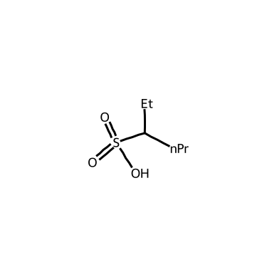 [CH2]CCC(CC)S(=O)(=O)O